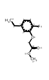 CCc1ccc(F)c(OCC(=O)OC)c1